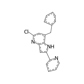 Clc1cc(Cc2ccccc2)c2[nH]c(-c3ccccn3)cc2n1